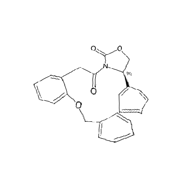 O=C(Cc1ccccc1OCc1ccccc1)N1C(=O)OC[C@H]1c1ccccc1